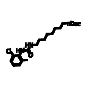 CCCCCCCCCCCCCCCCCCNC(=O)Nc1c(C)cccc1Cl